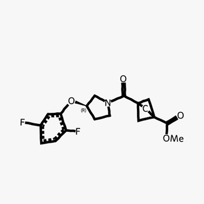 COC(=O)C12CC(C(=O)N3CC[C@@H](Oc4cc(F)ccc4F)C3)(C1)C2